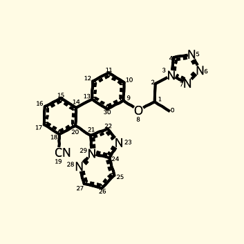 CC(Cn1cnnn1)Oc1cccc(-c2cccc(C#N)c2-c2cnc3cccnn23)c1